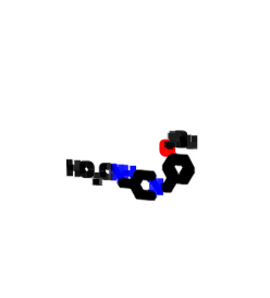 CC(C)(C)Oc1cccc(CN2CCC(CNC(=O)O)CC2)c1